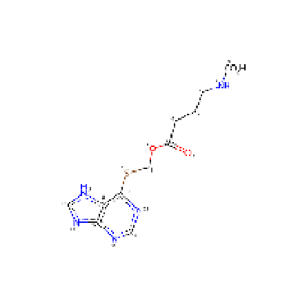 O=C(O)NCCCC(=O)OCSc1ncnc2nc[nH]c12